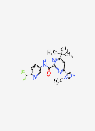 Cn1cncc1-c1cc(C(C)(C)C)nc(C(=O)Nc2ccc(C(F)F)nc2)n1